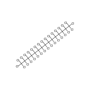 ClC(Cl)(Cl)C(Cl)(Cl)C(Cl)(Cl)C(Cl)(Cl)C(Cl)(Cl)C(Cl)(Cl)C(Cl)(Cl)C(Cl)(Cl)C(Cl)(Cl)C(Cl)(Cl)C(Cl)(Cl)C(Cl)(Cl)C(Cl)(Cl)C(Cl)(Cl)C(Cl)(Cl)Cl